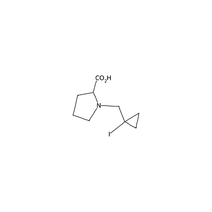 O=C(O)C1CCCN1CC1(I)CC1